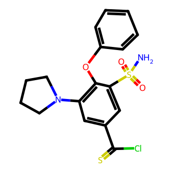 NS(=O)(=O)c1cc(C(=S)Cl)cc(N2CCCC2)c1Oc1ccccc1